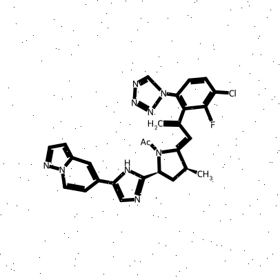 C=C(/C=C1/[C@@H](C)C[C@@H](c2ncc(-c3ccn4nccc4c3)[nH]2)N1C(C)=O)c1c(-n2cnnn2)ccc(Cl)c1F